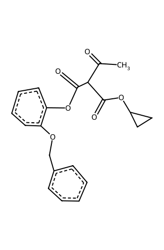 CC(=O)C(C(=O)Oc1ccccc1OCc1ccccc1)C(=O)OC1CC1